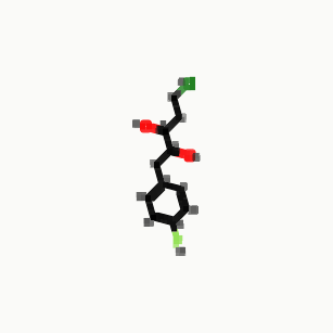 O=C(CCCl)C(=O)Cc1ccc(F)cc1